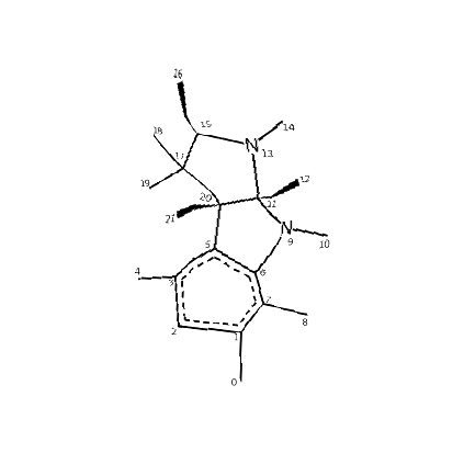 Cc1cc(C)c2c(c1C)N(C)[C@@]1(C)N(C)[C@H](C)C(C)(C)[C@@]21C